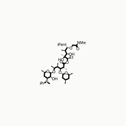 CCC[C@@H](C)[C@H](OCC(=O)NC)[C@H](C)[C@@H](O)[C@](C)(O)[C@@H](CC)OC(=O)[C@H](C)[C@@H](O[C@H]1C[C@H](C)C[C@H](C)O1)[C@H](C)[C@H](C)O[C@@H]1O[C@H](C)C[C@H](N(C)C(C)C)[C@H]1O